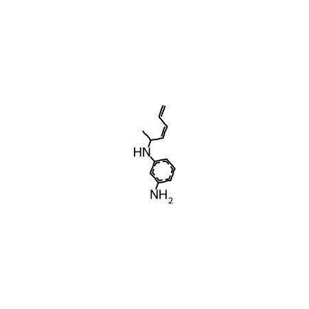 C=C/C=C\C(C)Nc1cccc(N)c1